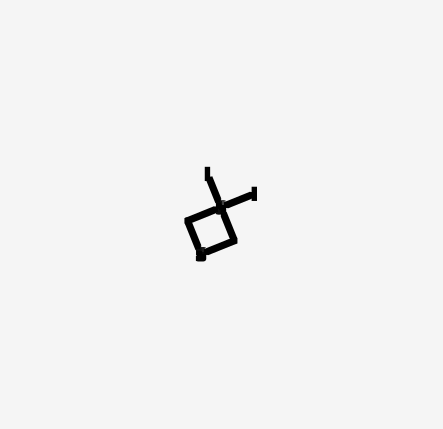 IS1(I)CSC1